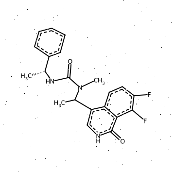 CC(c1c[nH]c(=O)c2c(F)c(F)ccc12)N(C)C(=O)N[C@H](C)c1ccccc1